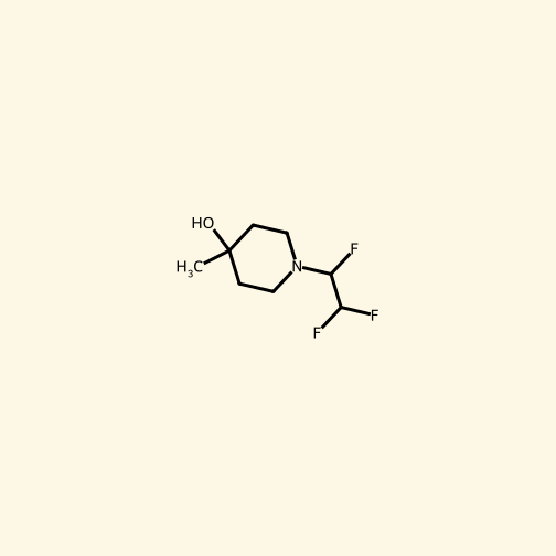 CC1(O)CCN(C(F)C(F)F)CC1